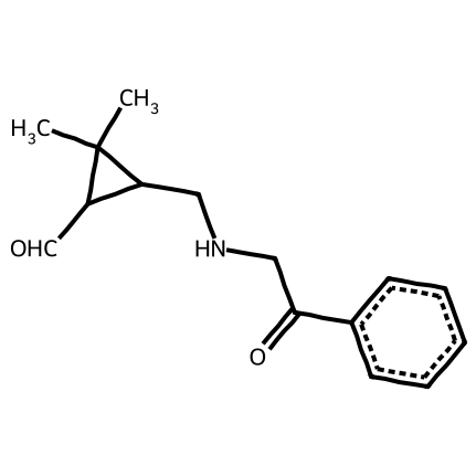 CC1(C)C(C=O)C1CNCC(=O)c1ccccc1